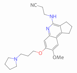 COc1cc2c3c(c(NCCC#N)nc2cc1OCCCN1CCCC1)CCC3